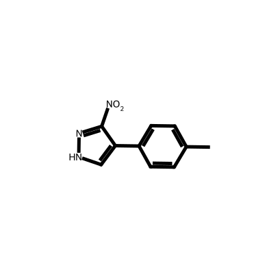 Cc1ccc(-c2c[nH]nc2[N+](=O)[O-])cc1